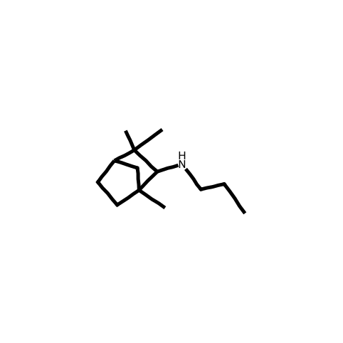 CCCNC1C2(C)CCC(C2)C1(C)C